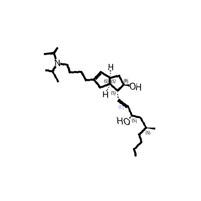 CCCC[C@H](C)C[C@H](O)/C=C/[C@@H]1[C@H]2CC(CCCCN(C(C)C)C(C)C)=C[C@H]2C[C@H]1O